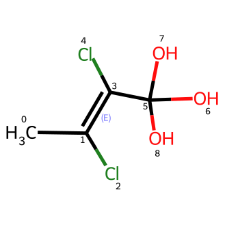 C/C(Cl)=C(\Cl)C(O)(O)O